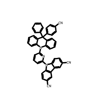 N#Cc1ccc(C2(c3ccccc3)c3ccccc3N(c3cccc(-n4c5ccc(C#N)cc5c5cc(C#N)ccc54)n3)c3ccccc32)cc1